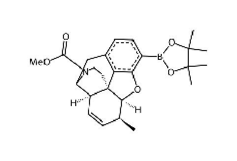 COC(=O)N1CC[C@]23c4c5ccc(B6OC(C)(C)C(C)(C)O6)c4O[C@H]2[C@@H](C)C=C[C@H]3C1C5